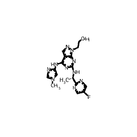 C[C@H](Nc1nc(Nc2cn(C)cn2)c2cnn(CCO)c2n1)c1ncc(F)cn1